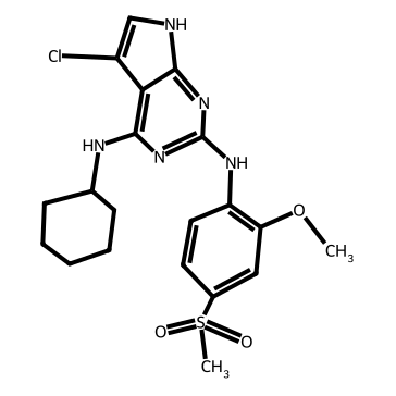 COc1cc(S(C)(=O)=O)ccc1Nc1nc(NC2CCCCC2)c2c(Cl)c[nH]c2n1